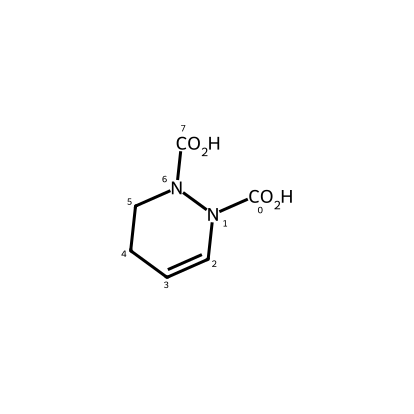 O=C(O)N1C=CCCN1C(=O)O